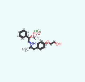 COC(CNC(C)Cc1ccc(OCCO)cc1)c1ccccc1.Cl.O